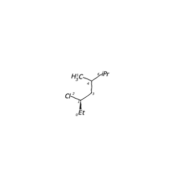 CC[C@@H](Cl)CC(C)C(C)C